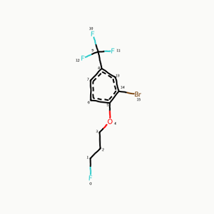 FCCCOc1ccc(C(F)(F)F)cc1Br